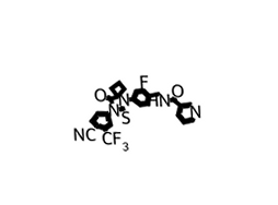 N#Cc1ccc(N2C(=O)C3(CCC3)N(c3ccc(CNC(=O)c4cccnc4)c(F)c3)C2=S)cc1C(F)(F)F